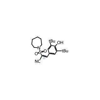 CC(C)(C)c1cc(/C=C(/C#N)S(=O)(=O)N2CCCCCC2)cc(C(C)(C)C)c1O